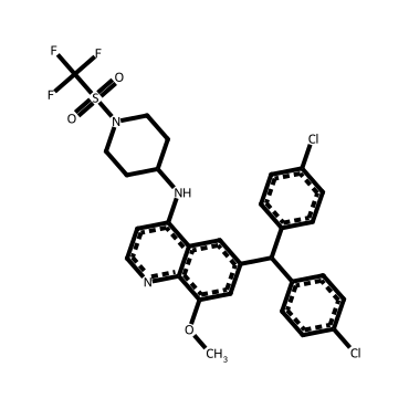 COc1cc(C(c2ccc(Cl)cc2)c2ccc(Cl)cc2)cc2c(NC3CCN(S(=O)(=O)C(F)(F)F)CC3)ccnc12